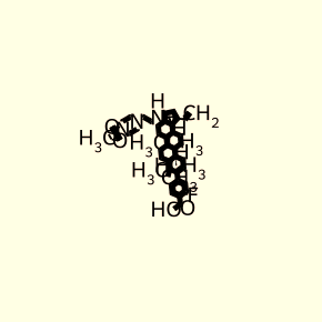 C=C[C@@H]1CC[C@]2(NCCN3CCN(S(C)(=O)=O)CC3)CC[C@]3(C)[C@H](CC[C@@H]4[C@@]5(C)CC=C(c6ccc(C(=O)O)c(F)c6)C(C)(C)[C@@H]5CC[C@]43C)[C@@H]12